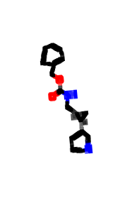 O=C(NC[C@H]1C[C@@H]1c1cccnc1)OCc1ccccc1